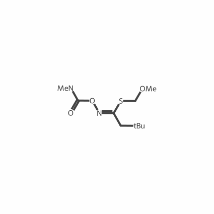 CNC(=O)ON=C(CC(C)(C)C)SCOC